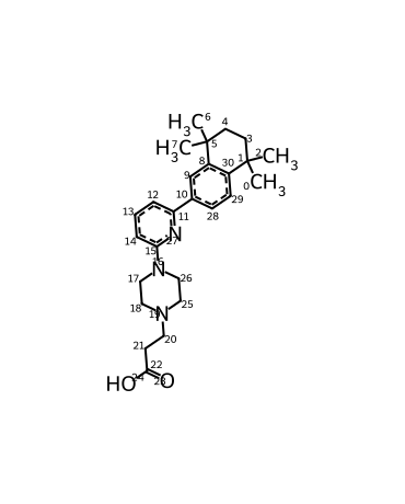 CC1(C)CCC(C)(C)c2cc(-c3cccc(N4CCN(CCC(=O)O)CC4)n3)ccc21